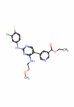 CCOC(=O)c1cncc(-c2cnc(Nc3ccc(F)c(Cl)c3)nc2NCCOC)c1